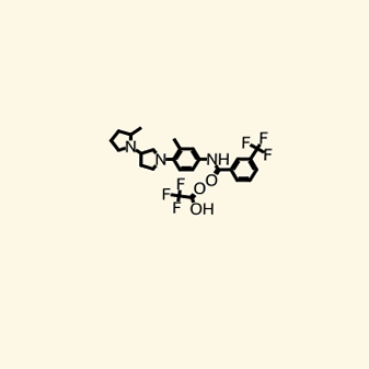 Cc1cc(NC(=O)c2cccc(C(F)(F)F)c2)ccc1N1CCC(N2CCCC2C)C1.O=C(O)C(F)(F)F